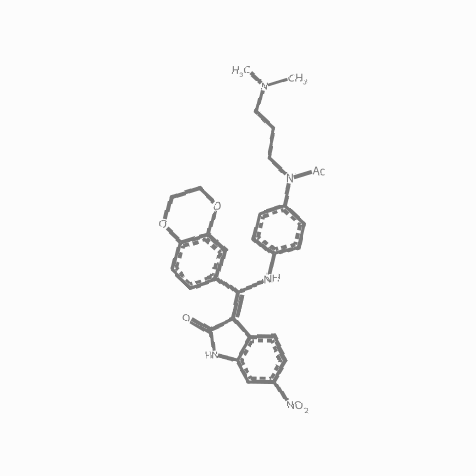 CC(=O)N(CCCN(C)C)c1ccc(NC(=C2C(=O)Nc3cc([N+](=O)[O-])ccc32)c2ccc3c(c2)OCCO3)cc1